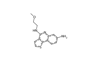 COCCNc1nc2cc(N)ccc2c2sccc12